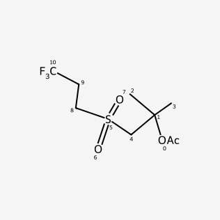 CC(=O)OC(C)(C)CS(=O)(=O)CCC(F)(F)F